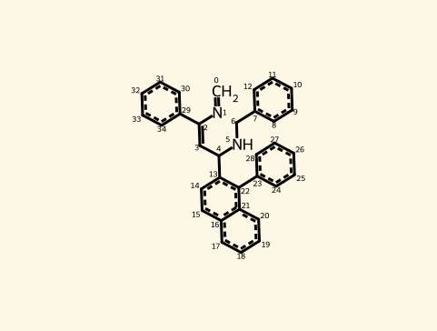 C=N/C(=C\C(NCc1ccccc1)c1ccc2ccccc2c1-c1ccccc1)c1ccccc1